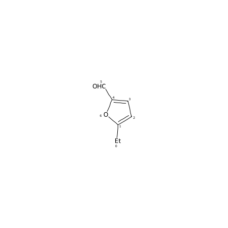 CCc1ccc(C=O)o1